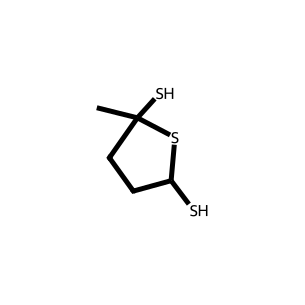 CC1(S)CCC(S)S1